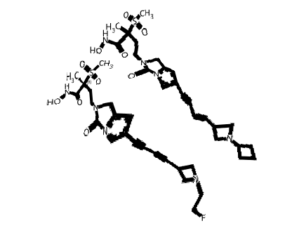 CC(CCN1Cc2cc(C#CC#CC3CN(C4CCC4)C3)cn2C1=O)(C(=O)NO)S(C)(=O)=O.C[C@@](CCN1Cc2cc(C#CC#CC3CN(CCF)C3)cn2C1=O)(C(=O)NO)S(C)(=O)=O